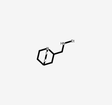 CCNCC1CC2CCN1CC2